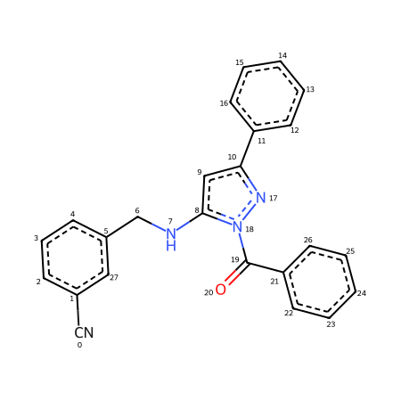 N#Cc1cccc(CNc2cc(-c3ccccc3)nn2C(=O)c2ccccc2)c1